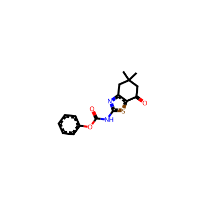 CC1(C)CC(=O)c2sc(NC(=O)Oc3ccccc3)nc2C1